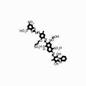 Cc1cc(N=Nc2c(SOOO)cc3c(S(=O)(=O)O)c(N=Nc4c(C)c(C#N)c5nc6ccccc6n5c4O)ccc3c2O)c(OCCCS(=O)(=O)O)cc1N=Nc1nc2c(S(=O)(=O)O)cc([N+](=O)[O-])cc2s1